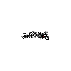 CCS(=O)(=O)N1CC(NC(=O)c2ccc(C3=NO[C@@](c4cc(Cl)cc(Cl)c4)(C(F)(F)F)C3)cc2C)C1